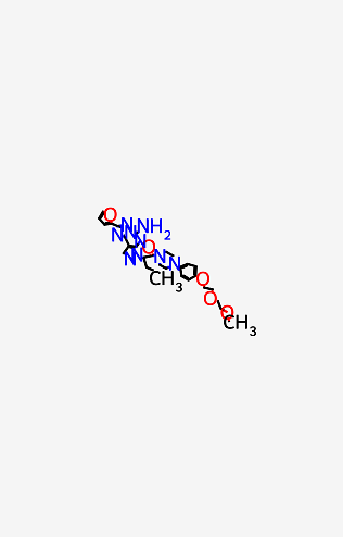 CCCC(C(=O)N1CCN(c2ccc(OCCOCCOC)cc2)CC1)n1ncc2c1nc(N)n1nc(-c3ccco3)nc21